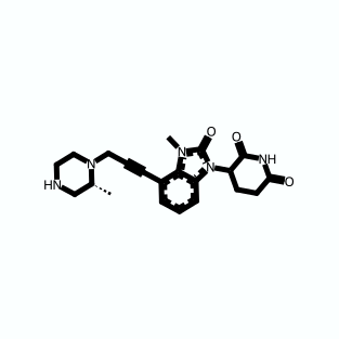 C[C@@H]1CNCCN1CC#Cc1cccc2c1n(C)c(=O)n2C1CCC(=O)NC1=O